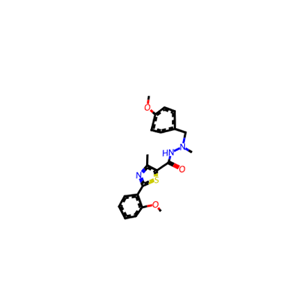 COc1ccc(CN(C)NC(=O)c2sc(-c3ccccc3OC)nc2C)cc1